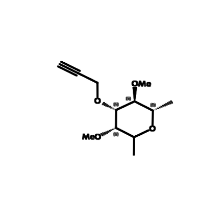 C#CCO[C@@H]1[C@@H](OC)[C@H](C)OC(C)[C@@H]1OC